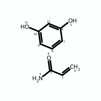 C=CC(N)=O.Oc1cccc(O)c1